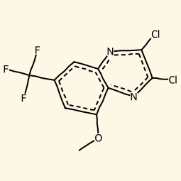 COc1cc(C(F)(F)F)cc2nc(Cl)c(Cl)nc12